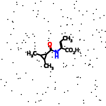 CC=C(NC(=O)C1C(C)C1C)C(=O)O